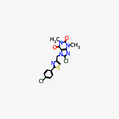 Cn1c(=O)c2c(nc(Cl)n2Cc2csc(-c3ccc(Cl)cc3)n2)n(C)c1=O